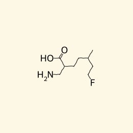 CC(CCF)CCC(CN)C(=O)O